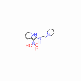 ON(O)c1c(NCCN2CCCCC2)nn2ccccc12